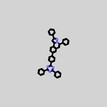 c1ccc(-c2cc3c4ccc(-c5ccc(-c6nc(-c7ccccc7)nc(-c7ccccc7)n6)cc5)cc4cc(-c4ccccc4)n3n2)cc1